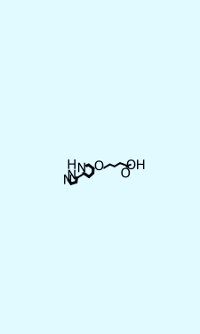 O=C(O)CCCCOc1ccc(-c2ccn[nH]2)nc1